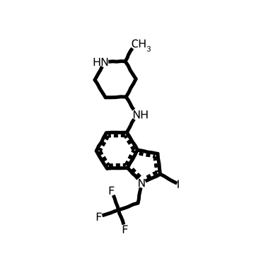 CC1CC(Nc2cccc3c2cc(I)n3CC(F)(F)F)CCN1